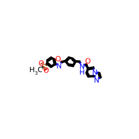 CS(=O)(=O)c1ccc2oc(-c3ccc(CNC(=O)c4ccc5nccn5c4)cc3)nc2c1